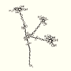 CCCCCCCCCCCCCCCC(=O)NCCCCC(NC(=O)C(CCCCNC(=O)COCCOCCOCCO[C@@H]1O[C@H](CO)[C@H](O)[C@H](O)[C@H]1NC(C)=O)NC(=O)C(CCCCNC(=O)COCCOCCOCCO[C@@H]1O[C@H](CO)[C@H](O)[C@H](O)[C@H]1NC(C)=O)NC(=O)COCCOCCOCCO[C@@H]1O[C@H](CO)[C@H](O)[C@H](O)[C@H]1NC(C)=O)C(C)=O